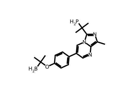 BC(C)(C)Oc1ccc(-c2cnc3c(C)nc(C(C)(C)P)n3c2)cc1